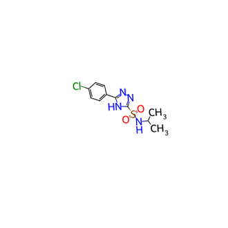 CC(C)NS(=O)(=O)c1nnc(-c2ccc(Cl)cc2)[nH]1